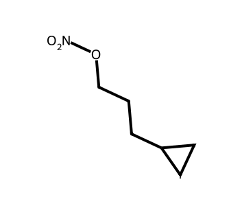 O=[N+]([O-])OCCCC1[CH]C1